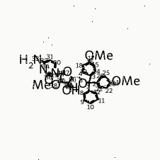 [2H][C@@]1(O)[C@@H](COC(c2ccccc2)(c2ccc(OC)cc2)c2ccc(OC)cc2)O[C@@H](n2ccc(N)nc2=O)[C@@H]1OC